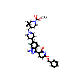 Cn1nc(-c2ccc(OCc3ccccc3)nc2O)c2ccc(C3CCN(C[C@@H]4CCN(C(=O)OC(C)(C)C)CC4(C)C)CC3)c(F)c21